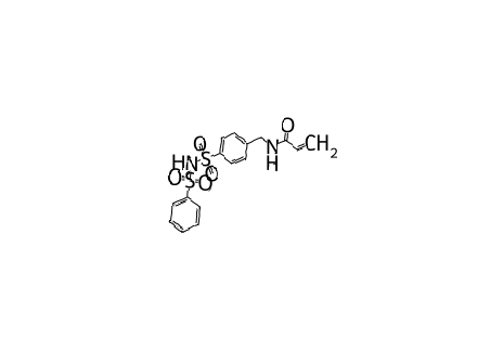 C=CC(=O)NCc1ccc(S(=O)(=O)NS(=O)(=O)c2ccccc2)cc1